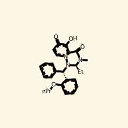 CCCOc1ccccc1[C@H](c1ccccc1)N1[C@H](CC)N(C)C(=O)c2c(O)c(=O)ccn21